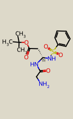 CC(C)(C)OC(=O)C[C@@H](NC(=O)CN)NS(=O)(=O)c1ccccc1